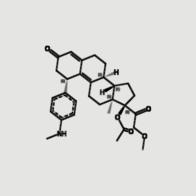 CNc1ccc([C@@H]2CC(=O)C=C3CC[C@@H]4C(=C32)CC[C@@]2(C)[C@H]4CC[C@]2(OC(C)=O)C(=O)COC)cc1